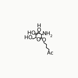 CC(=O)CCCCO[C@@H]1OC(CO)[C@H](O)[C@H](O)C1N